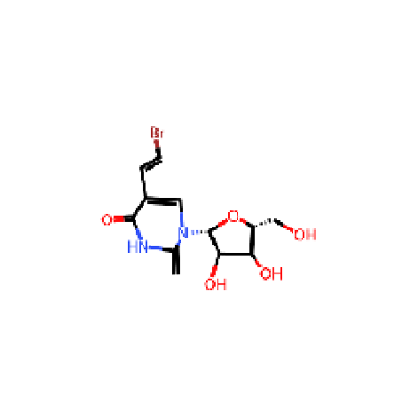 C=C1NC(=O)C(/C=C/Br)=CN1[C@@H]1O[C@H](CO)C(O)C1O